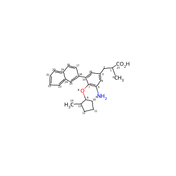 CC(Cc1cc(N)c(OC2CCCC2C)c(-c2ccc3ccccc3c2)c1)C(=O)O